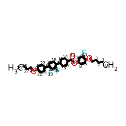 C=CCCCOc1ccc(OC(=O)C2CCC(c3ccc(-c4ccc(OCCCC)cc4)c(F)c3F)CC2)cc1F